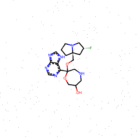 OC1CNCC(OC[C@@]23CCCN2C[C@H](F)C3)(c2ncnc3nc[nH]c23)OC1